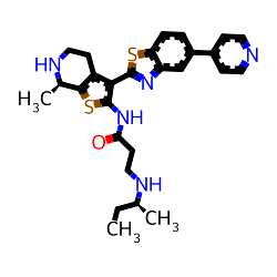 CC[C@H](C)NCCC(=O)Nc1sc2c(c1-c1nc3cc(-c4ccncc4)ccc3s1)CCN[C@@H]2C